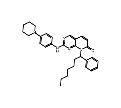 CCCCCCC(c1ccccc1)n1c(=O)ccc2cnc(Nc3ccc(N4CCCCC4)cc3)nc21